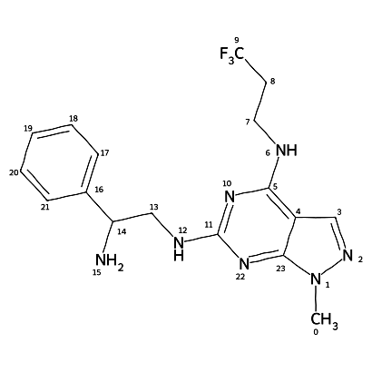 Cn1ncc2c(NCCC(F)(F)F)nc(NCC(N)c3ccccc3)nc21